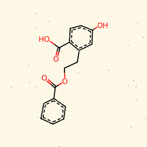 O=C(OCCc1cc(O)ccc1C(=O)O)c1ccccc1